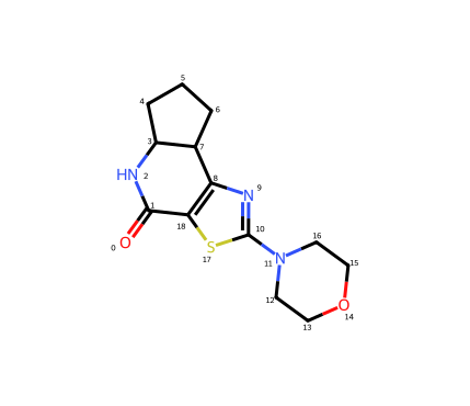 O=C1NC2CCCC2c2nc(N3CCOCC3)sc21